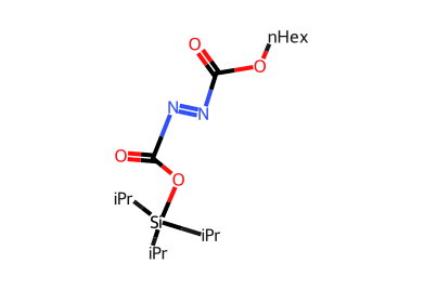 CCCCCCOC(=O)/N=N/C(=O)O[Si](C(C)C)(C(C)C)C(C)C